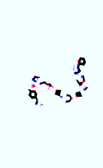 Cc1ncsc1-c1ccc([C@H](C)NC(=O)[C@@H]2C[C@@H](O)CN2C(=O)[C@H](c2cc(O[C@H]3C[C@H](CN4CCC(O[C@H]5C[C@H](N6CCOC7(CCN(c8cc(-c9ccccc9O)nnc8N)CC7)C6)C5)CC4)C3)no2)C(C)C)cc1